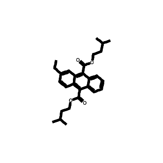 CCc1ccc2c(C(=O)OCCC(C)C)c3ccccc3c(C(=O)OCCC(C)C)c2c1